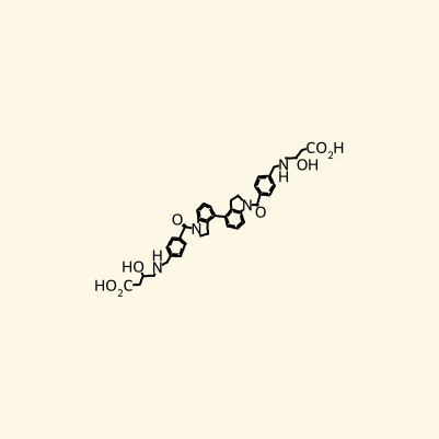 O=C(O)CC(O)CNCc1ccc(C(=O)N2CCc3c(-c4cccc5c4CCN5C(=O)c4ccc(CNCC(O)CC(=O)O)cc4)cccc32)cc1